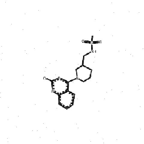 CS(=O)(=O)NCC1CCCN(c2nc(Cl)nc3ccccc23)C1